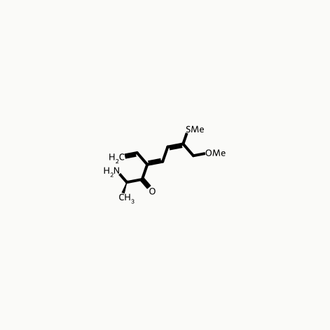 C=C/C(=C\C=C(/COC)SC)C(=O)[C@@H](C)N